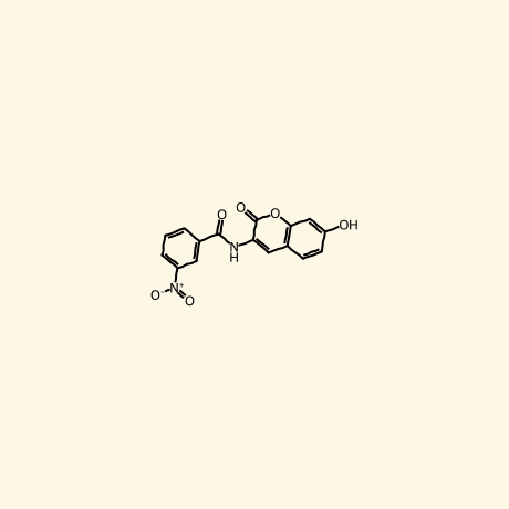 O=C(Nc1cc2ccc(O)cc2oc1=O)c1cccc([N+](=O)[O-])c1